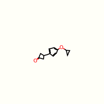 O=C1CC(c2ccc(OC3CC3)cc2)C1